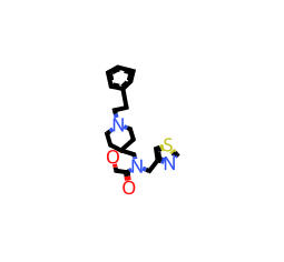 O=C1COC2(CCN(CCc3ccccc3)CC2)CN1Cc1cscn1